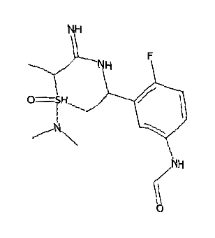 CC1C(=N)NC(c2cc(NC=O)ccc2F)C[SH]1(=O)N(C)C